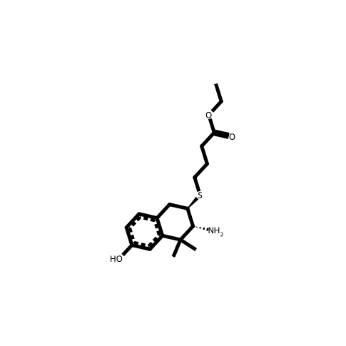 CCOC(=O)CCCS[C@@H]1Cc2ccc(O)cc2C(C)(C)[C@H]1N